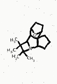 CC1(C)C2C3C4CCC(O4)C34CCCC4N2C1(C)C